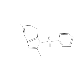 Nc1nc2c(n1S(=O)(=O)c1ccccc1)CCC(C(=O)O)=C2